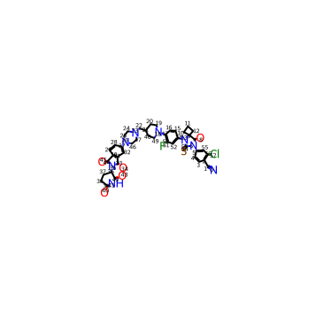 N#Cc1ccc(N2C(=O)C3(CCC3)N(c3ccc(N4CCC(CN5CCN(c6ccc7c(c6)C(=O)N(C6CCC(=O)NC6=O)C7=O)CC5)CC4)c(F)c3)C2=S)cc1Cl